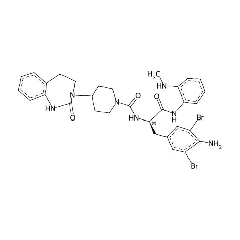 CNc1ccccc1NC(=O)[C@@H](Cc1cc(Br)c(N)c(Br)c1)NC(=O)N1CCC(N2CCc3ccccc3NC2=O)CC1